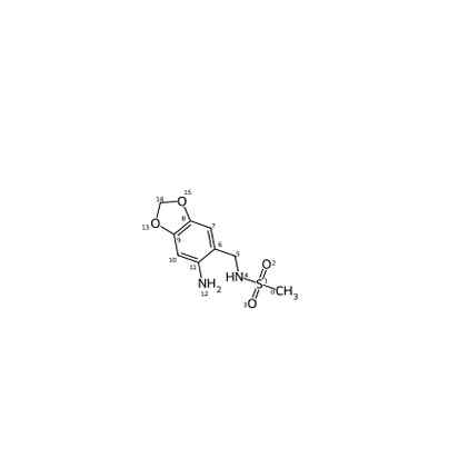 CS(=O)(=O)NCc1cc2c(cc1N)OCO2